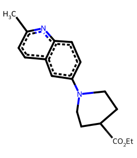 CCOC(=O)C1CCN(c2ccc3nc(C)ccc3c2)CC1